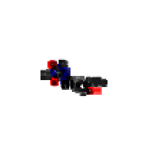 CCn1c(=O)c2c(nc(C=Cc3ccc(O)c(OC)c3)n2C)n(CC)c1=O